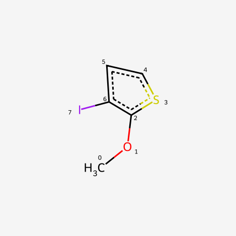 COc1sccc1I